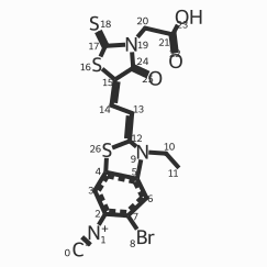 [C-]#[N+]c1cc2c(cc1Br)N(CC)/C(=C/C=C1/SC(=S)N(CC(=O)O)C1=O)S2